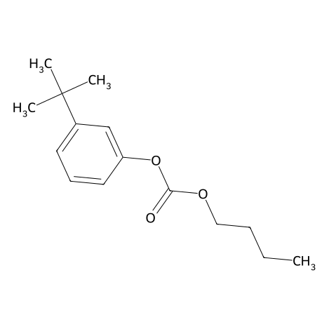 CCCCOC(=O)Oc1cccc(C(C)(C)C)c1